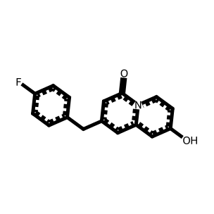 O=c1cc(Cc2ccc(F)cc2)cc2cc(O)ccn12